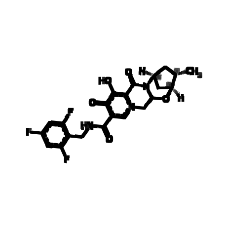 C[C@H]1C[C@H]2C[C@@H]1OC1Cn3cc(C(=O)NCc4c(F)cc(F)cc4F)c(=O)c(O)c3C(=O)N12